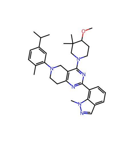 COC1CCN(c2nc(-c3cccc4cnn(C)c34)nc3c2CN(c2cc(C(C)C)ccc2C)CC3)CC1(C)C